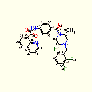 C[C@@H]1CN(Cc2c(F)ccc(F)c2F)CCN1C(=O)c1ccc(NS(=O)(=O)c2cccc3cccnc23)cc1